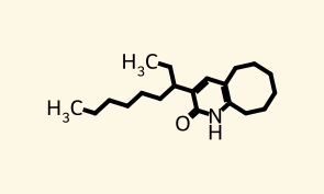 CCCCCCC(CC)c1cc2c([nH]c1=O)CCCCCC2